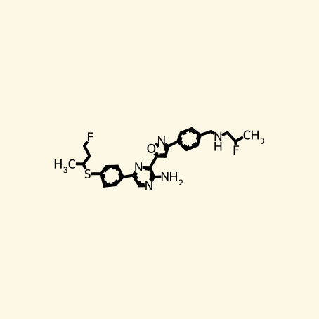 CC(F)CNCc1ccc(-c2cc(-c3nc(-c4ccc(SC(C)CCF)cc4)cnc3N)on2)cc1